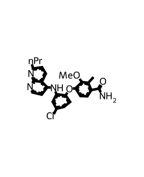 CCCc1ccc2c(Nc3cc(Cl)ccc3Oc3ccc(C(N)=O)c(C)c3OC)ccnc2n1